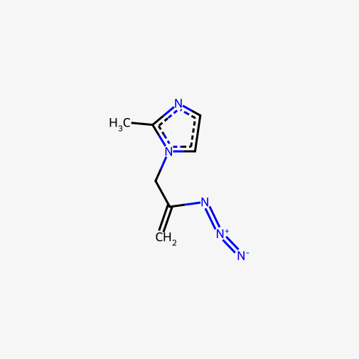 C=C(Cn1ccnc1C)N=[N+]=[N-]